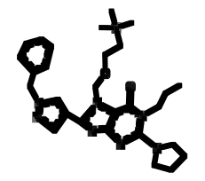 CCCn1c(N2CCCC2)nc2nc(-c3cnn(Cc4ccccc4)c3)n(COCC[Si](C)(C)C)c2c1=O